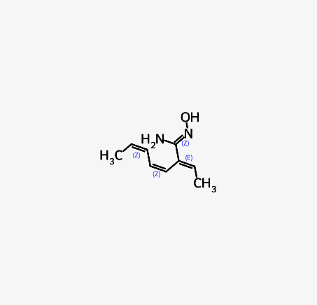 C\C=C/C=C\C(=C/C)C(\N)=N\O